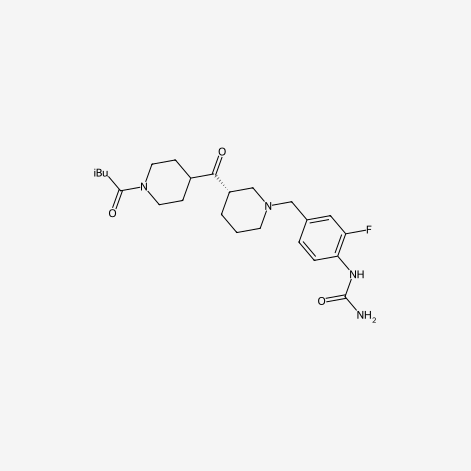 CCC(C)C(=O)N1CCC(C(=O)[C@H]2CCCN(Cc3ccc(NC(N)=O)c(F)c3)C2)CC1